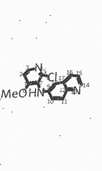 COc1ccnc(Cl)c1Nc1ccc2ncccc2c1